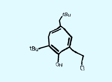 CC(C)(C)c1cc(CCl)c(O)c(C(C)(C)C)c1